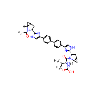 CC(=O)N1[C@@H]2CC2C[C@H]1c1nc(-c2ccc(-c3ccc(-c4c[nH]c([C@@H]5CC6C[C@H]6N5C(=O)[C@@H](NC(=O)O)C(C)C)n4)cc3)cc2)c[nH]1